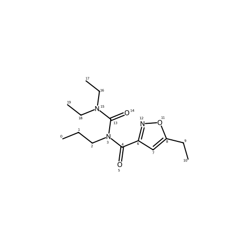 CCCN(C(=O)c1cc(CC)on1)C(=O)N(CC)CC